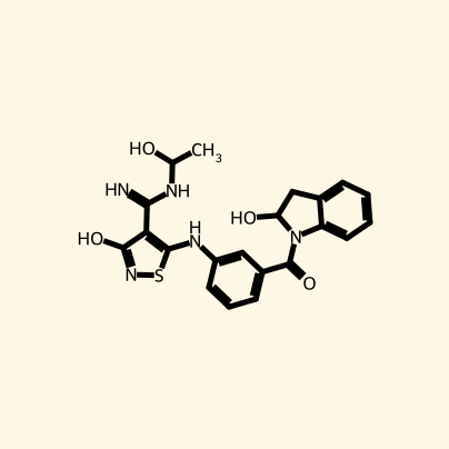 CC(O)NC(=N)c1c(O)nsc1Nc1cccc(C(=O)N2c3ccccc3CC2O)c1